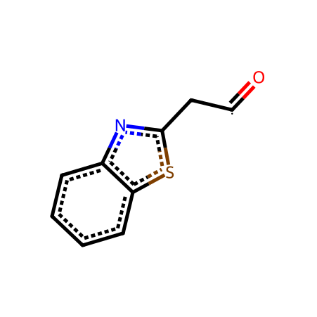 O=[C]Cc1nc2ccccc2s1